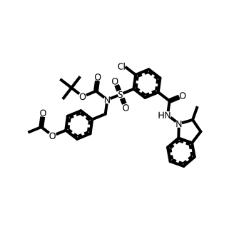 CC(=O)Oc1ccc(CN(C(=O)OC(C)(C)C)S(=O)(=O)c2cc(C(=O)NN3c4ccccc4CC3C)ccc2Cl)cc1